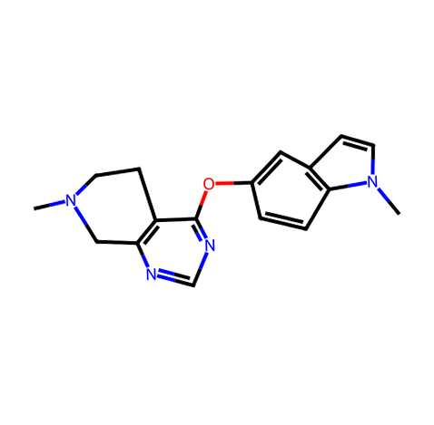 CN1CCc2c(ncnc2Oc2ccc3c(ccn3C)c2)C1